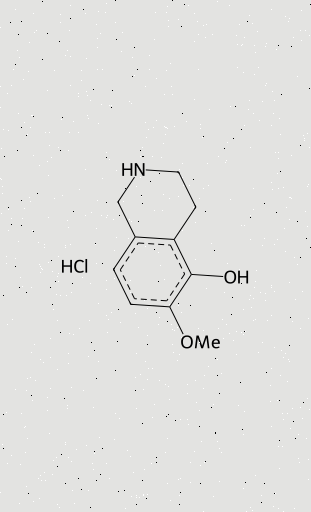 COc1ccc2c(c1O)CCNC2.Cl